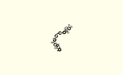 Cc1cccc(C)c1Nc1nn(C)c2nc(Nc3ccc(N4CCN(CC5CCN(c6ccc7c(c6)C(=O)N(C6CCC(=O)NC6=O)C7=O)CC5)CC4)nc3)ncc12